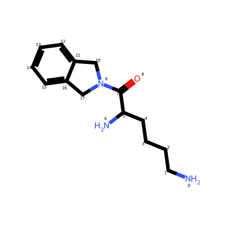 NCCCCC(N)C(=O)N1Cc2ccccc2C1